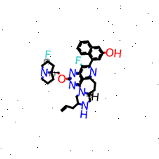 C=CCC1CN2c3nc(OC[C@@]45CCCN4C[C@H](F)C5)nc4c(F)c(-c5cc(O)cc6ccccc56)nc(c34)CC[C@@H]2CN1